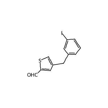 O=Cc1cc(Cc2cccc(I)c2)cs1